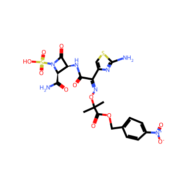 CC(C)(ON=C(C(=O)N[C@@H]1C(=O)N(S(=O)(=O)O)[C@@H]1C(N)=O)c1csc(N)n1)C(=O)OCc1ccc([N+](=O)[O-])cc1